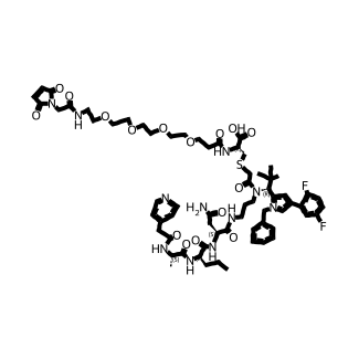 CCC[C@@H](NC(=O)[C@H](C)NC(=O)Cc1ccncc1)C(=O)N[C@@H](CC(N)=O)C(=O)NCCCN(C(=O)CSC[C@H](NC(=O)CCOCCOCCOCCOCCNC(=O)CN1C(=O)C=CC1=O)C(=O)O)[C@@H](c1cc(-c2cc(F)ccc2F)cn1Cc1ccccc1)C(C)(C)C